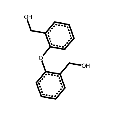 OCc1ccccc1Oc1ccccc1CO